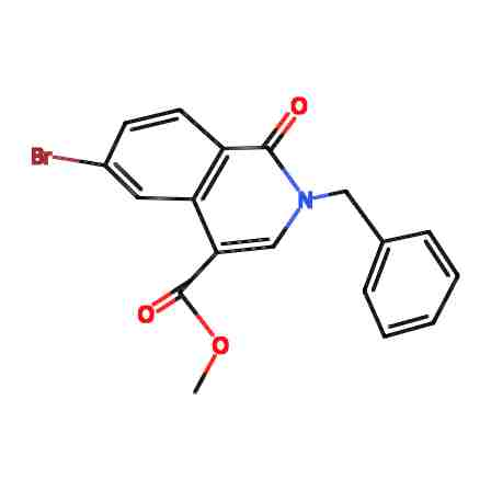 COC(=O)c1cn(Cc2ccccc2)c(=O)c2ccc(Br)cc12